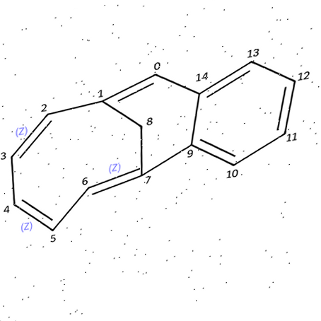 C1=C2\C=C/C=C\C=C(\C2)c2ccccc21